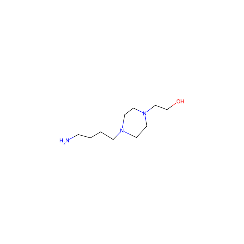 NCCCCN1CCN(CCO)CC1